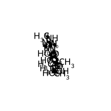 CCC(CC)(CC1O[C@@H](n2cnc3c(NC)ncnc32)[C@H](O)C1O)OP(=O)(O)C(C)(C)O